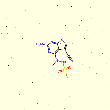 CN(NS(C)(=O)=O)c1nc(N)nc2c1c(C#N)cn2C